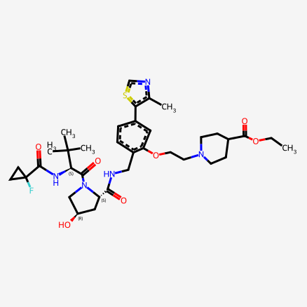 CCOC(=O)C1CCN(CCOc2cc(-c3scnc3C)ccc2CNC(=O)[C@@H]2C[C@@H](O)CN2C(=O)[C@@H](NC(=O)C2(F)CC2)C(C)(C)C)CC1